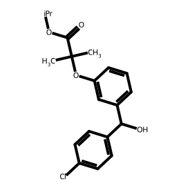 CC(C)OC(=O)C(C)(C)Oc1cccc(C(O)c2ccc(Cl)cc2)c1